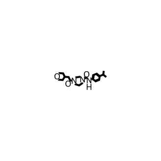 CC(C)c1ccc(NC(=O)N2CCCN(C(=O)CC3CCOCC3)CC2)cc1